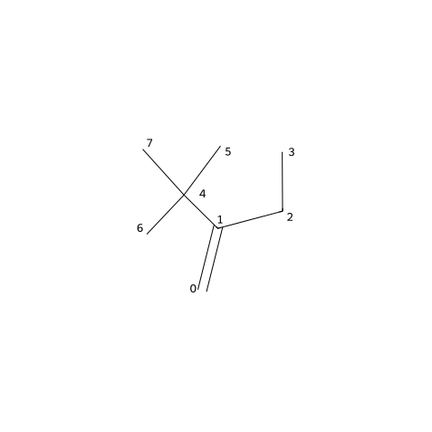 C=C(CC)C(C)(C)C